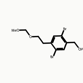 COCOCCc1cc(Br)c(CO)cc1Br